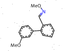 CO/N=C/c1ccccc1-c1cccc(OC)c1